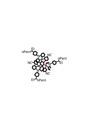 [C-]#[N+]c1ccc2c(c1)C1(c3ccccc3N(c3ccc(C(CC)CCCCC)cc3)c3ccccc31)c1c-2c2c(c3c1-c1ccc([N+]#[C-])cc1C31c3ccccc3N(c3ccc(C(CC)CCCCC)cc3)c3ccccc31)-c1ccc(C#N)cc1C21c2ccccc2N(c2ccc(C(CC)CCCCC)cc2)c2ccccc21